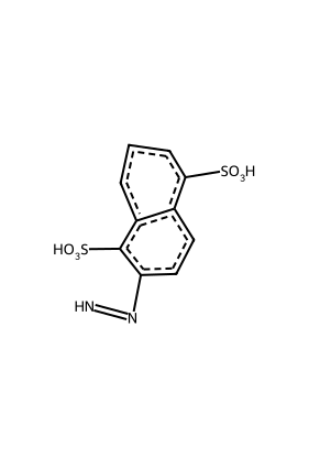 N=Nc1ccc2c(S(=O)(=O)O)cccc2c1S(=O)(=O)O